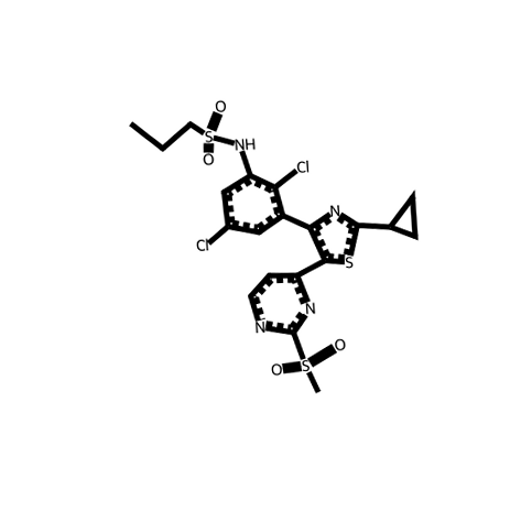 CCCS(=O)(=O)Nc1cc(Cl)cc(-c2nc(C3CC3)sc2-c2ccnc(S(C)(=O)=O)n2)c1Cl